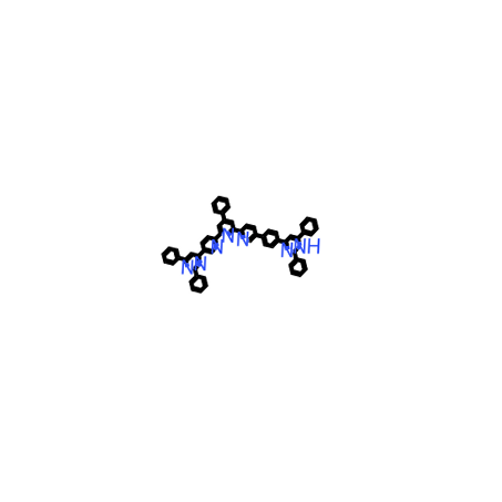 C1=C(c2ccccc2)NC(c2ccccc2)N=C1c1ccc(-c2ccc(-c3cc(-c4ccccc4)cc(-c4ccc(-c5cc(-c6ccccc6)nc(-c6ccccc6)n5)cn4)n3)nc2)cc1